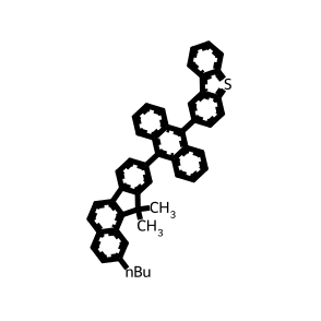 CCCCc1ccc2ccc3c(c2c1)C(C)(C)c1cc(-c2c4ccccc4c(-c4ccc5sc6ccccc6c5c4)c4ccccc24)ccc1-3